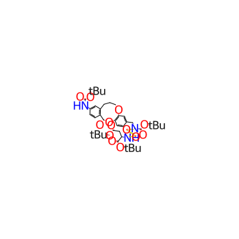 CC(C)(C)OC(=O)CC(NS(=O)(=O)N(Cc1ccc2c(c1)OCCCc1cc(NC(=O)OC(C)(C)C)ccc1C(=O)O2)C(=O)OC(C)(C)C)C(=O)OC(C)(C)C